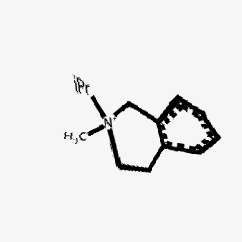 CC(C)[N+]1(C)CCc2ccccc2C1